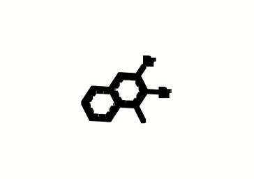 Cc1c(Br)c(Br)cc2ccccc12